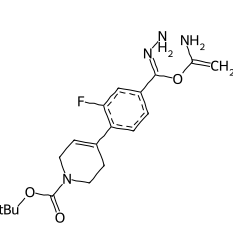 C=C(N)O/C(=N\N)c1ccc(C2=CCN(C(=O)OC(C)(C)C)CC2)c(F)c1